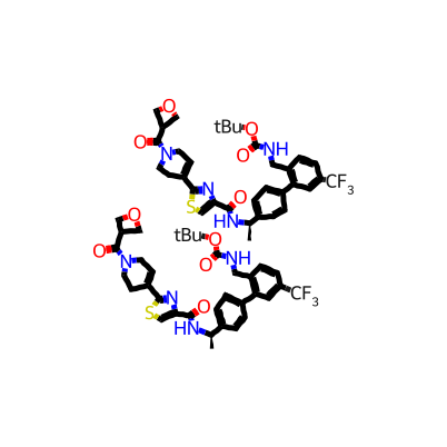 C[C@@H](NC(=O)c1csc(C2=CCN(C(=O)C3COC3)CC2)n1)c1ccc(-c2cc(C(F)(F)F)ccc2CNC(=O)OC(C)(C)C)cc1.C[C@@H](NC(=O)c1csc(C2=CCN(C(=O)C3COC3)CC2)n1)c1ccc(-c2cc(C(F)(F)F)ccc2CNC(=O)OC(C)(C)C)cc1